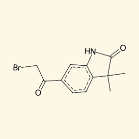 CC1(C)C(=O)Nc2cc(C(=O)CBr)ccc21